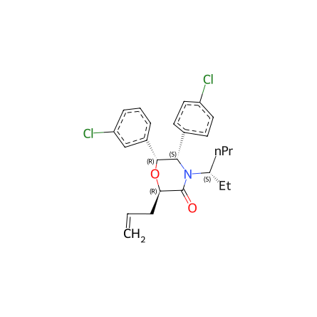 C=CC[C@H]1O[C@H](c2cccc(Cl)c2)[C@H](c2ccc(Cl)cc2)N([C@@H](CC)CCC)C1=O